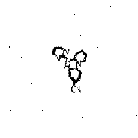 N#Cc1ccc(N2CCCCC2Nc2ncccn2)cc1